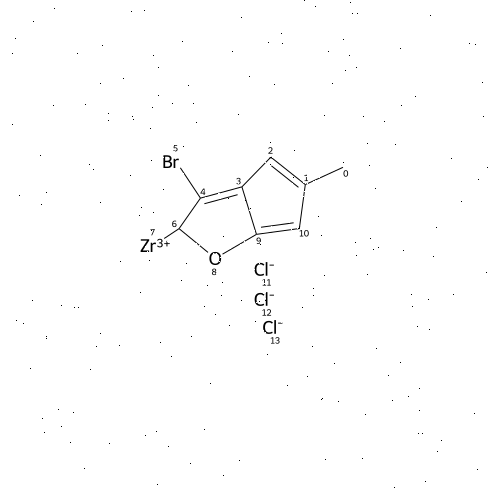 CC1=CC2=C(Br)[CH]([Zr+3])OC2=C1.[Cl-].[Cl-].[Cl-]